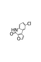 O=c1[nH]c2ccc(Cl)cc2c2ccoc12